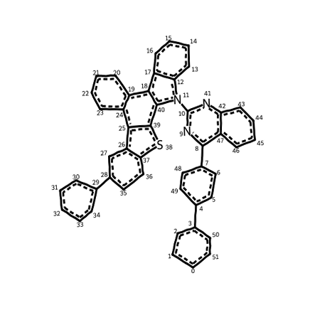 c1ccc(-c2ccc(-c3nc(-n4c5ccccc5c5c6ccccc6c6c7cc(-c8ccccc8)ccc7sc6c54)nc4ccccc34)cc2)cc1